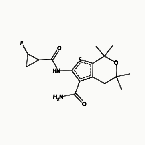 CC1(C)Cc2c(sc(NC(=O)C3CC3F)c2C(N)=O)C(C)(C)O1